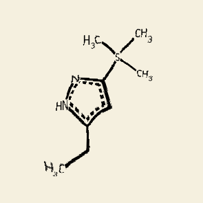 CCc1cc(S(C)(C)C)n[nH]1